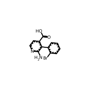 Nc1nccc(C(=O)O)c1-c1ccccc1Br